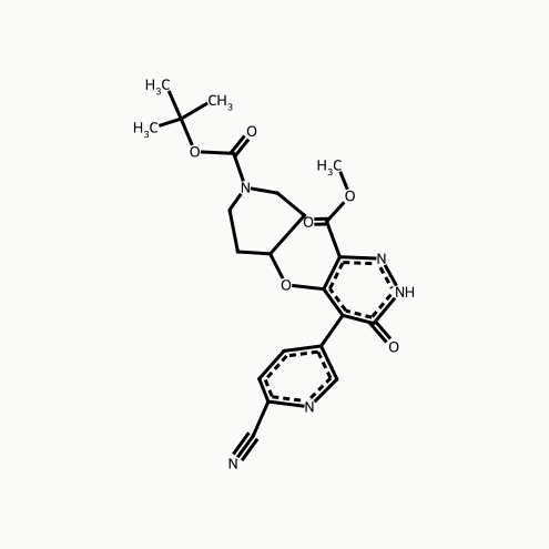 COC(=O)c1n[nH]c(=O)c(-c2ccc(C#N)nc2)c1OC1CCN(C(=O)OC(C)(C)C)CC1